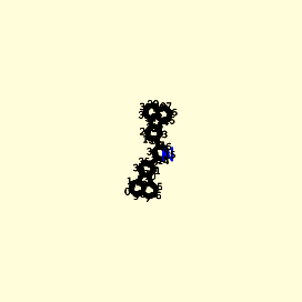 c1cc2c3c(cccc3c1)-c1cc(-c3cncc(-c4ccc5c(c4)-c4cccc6cccc-5c46)c3)ccc1-2